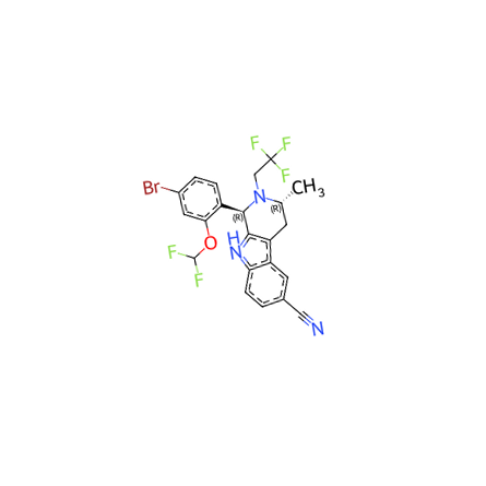 C[C@@H]1Cc2c([nH]c3ccc(C#N)cc23)[C@@H](c2ccc(Br)cc2OC(F)F)N1CC(F)(F)F